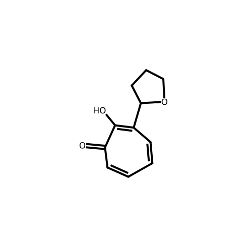 O=c1ccccc(C2CCCO2)c1O